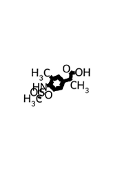 Cc1cc(C(C)C(=O)O)ccc1NS(C)(=O)=O